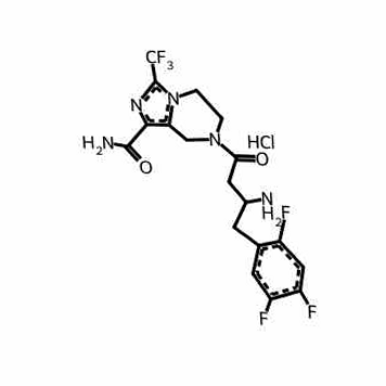 Cl.NC(=O)c1nc(C(F)(F)F)n2c1CN(C(=O)CC(N)Cc1cc(F)c(F)cc1F)CC2